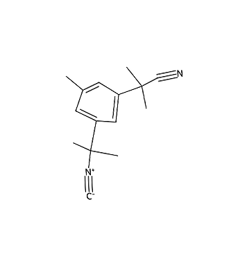 [C-]#[N+]C(C)(C)c1cc(C)cc(C(C)(C)C#N)c1